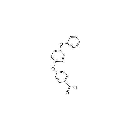 O=C(Cl)c1ccc(Oc2ccc(Oc3ccccc3)cc2)cc1